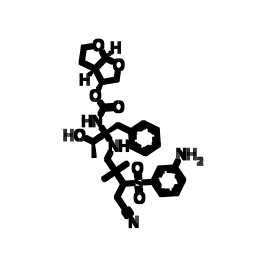 C[C@@H](O)[C@@](Cc1ccccc1)(NCC(C)(C)C(CC#N)S(=O)(=O)c1cccc(N)c1)NC(=O)O[C@@H]1CO[C@@H]2OCC[C@@H]21